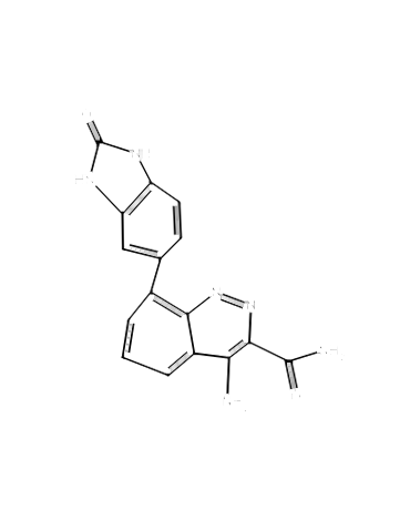 NC(=O)c1nnc2c(-c3ccc4[nH]c(=O)[nH]c4c3)cccc2c1N